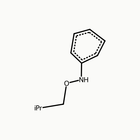 CC(C)CONc1ccccc1